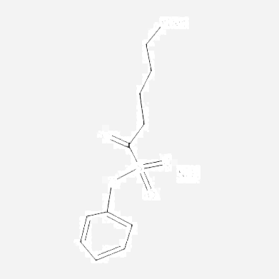 CCCCCCCCCCCCCCC(=O)S(=O)(=O)Oc1ccccc1.[NaH]